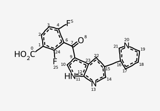 O=C(O)c1ccc(F)c(C(=O)c2c[nH]c3ncc(-c4cccnc4)cc23)c1F